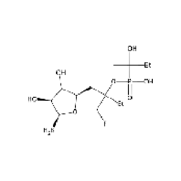 B[C@@H]1O[C@H](CC(CC)(CF)OP(=O)(O)C(C)(O)CC)C(O)[C@@H]1O